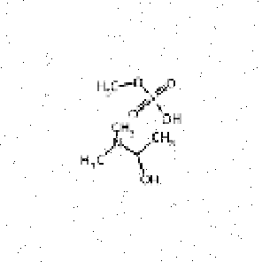 CC(O)N(C)C.COS(=O)(=O)O